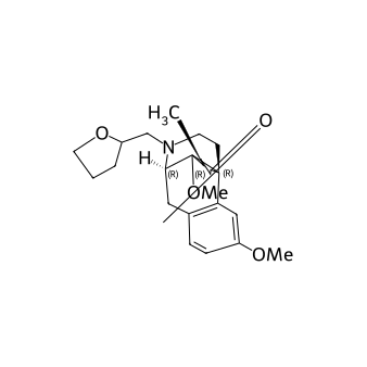 COc1ccc2c(c1)[C@]13CCN(CC4CCCO4)[C@H](C2)C1(OC)[C@H](C)CC(=O)C3